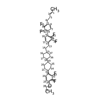 C/C=C/CCc1ccc(-c2ccc(CCC3CCC(C4CCC(c5ccc(OCC)c(F)c5F)CC4)CC3)c(F)c2F)c(F)c1F